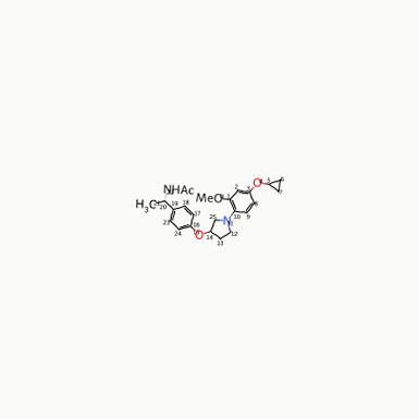 COc1cc(OC2CC2)ccc1N1CCC(Oc2ccc([C@H](C)NC(C)=O)cc2)C1